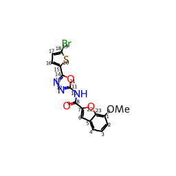 COc1cccc2cc(C(=O)Nc3nnc(-c4ccc(Br)s4)o3)oc12